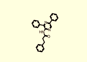 O=C(CCc1ccccc1)Nc1ncc(-c2ccccc2)nc1-c1ccccc1